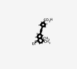 CCSC1=CCC(C)(C)c2cc(C#Cc3ccc(C(=O)O)cc3)ccc21